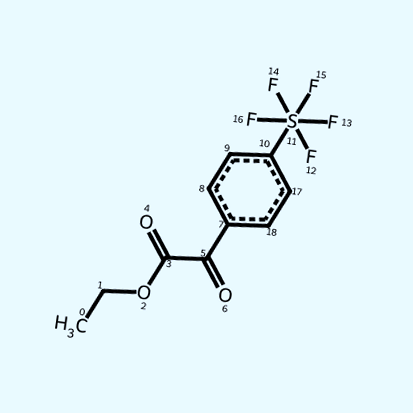 CCOC(=O)C(=O)c1ccc(S(F)(F)(F)(F)F)cc1